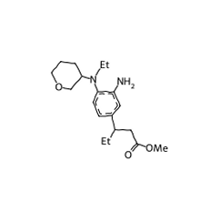 CCC(CC(=O)OC)c1ccc(N(CC)C2CCCOC2)c(N)c1